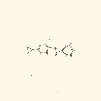 O=C(Nc1ccc(C2CC2)cn1)c1cncnc1